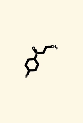 CCC[P](=O)C1CCC(F)CC1